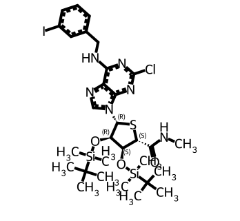 CNC(=O)[C@H]1S[C@@H](n2cnc3c(NCc4cccc(I)c4)nc(Cl)nc32)[C@H](O[Si](C)(C)C(C)(C)C)[C@@H]1O[Si](C)(C)C(C)(C)C